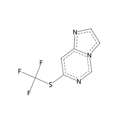 FC(F)(F)Sc1cc2nccn2cn1